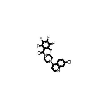 O=C(c1c(F)c(F)c(F)c(F)c1F)N1CCN(c2ccnc3cc(Cl)ccc23)CC1